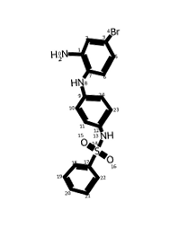 Nc1cc(Br)ccc1Nc1ccc(NS(=O)(=O)c2ccccc2)cc1